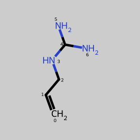 C=CCNC(N)N